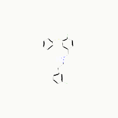 Clc1cccc(CCNCc2ccc(Cl)c(Sc3ccccc3)c2)c1